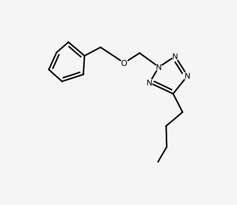 CCCCc1nnn(COCc2ccccc2)n1